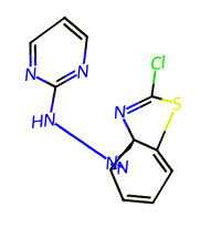 ClC1=NC23CN(Nc4ncccn4)N=C2C=CC=C3S1